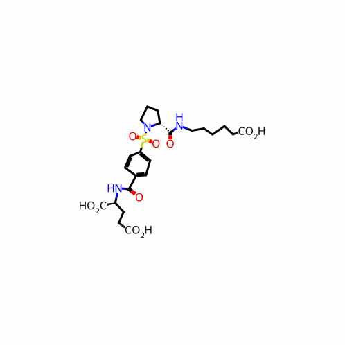 O=C(O)CCCCCNC(=O)[C@H]1CCCN1S(=O)(=O)c1ccc(C(=O)N[C@@H](CCC(=O)O)C(=O)O)cc1